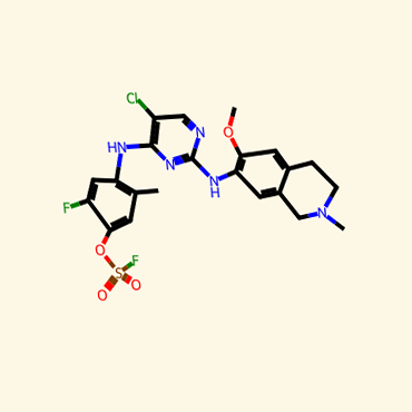 COc1cc2c(cc1Nc1ncc(Cl)c(Nc3cc(F)c(OS(=O)(=O)F)cc3C)n1)CN(C)CC2